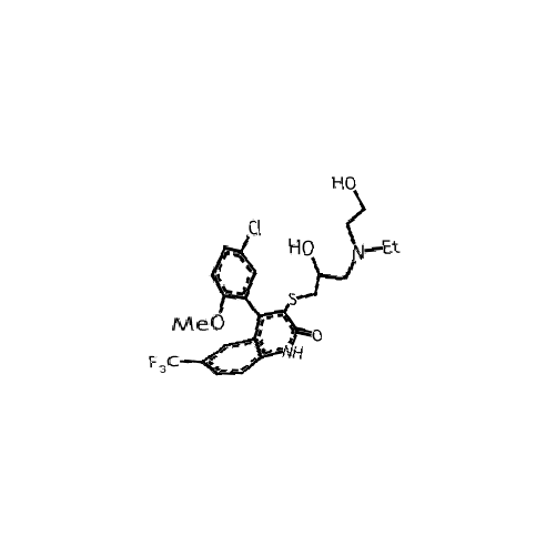 CCN(CCO)CC(O)CSc1c(-c2cc(Cl)ccc2OC)c2cc(C(F)(F)F)ccc2[nH]c1=O